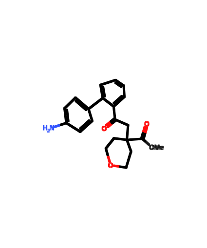 COC(=O)C1(CC(=O)c2ccccc2-c2ccc(N)cc2)CCOCC1